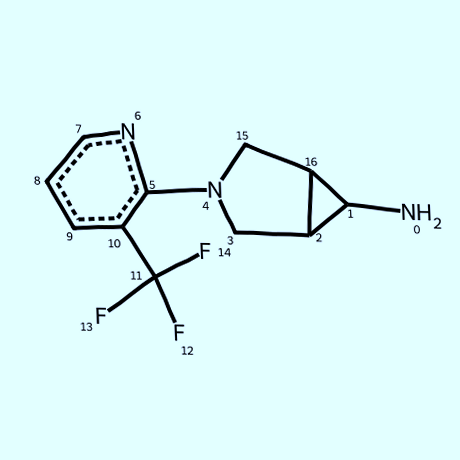 NC1C2CN(c3ncccc3C(F)(F)F)CC12